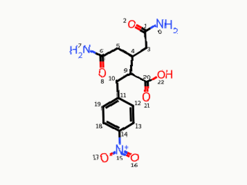 NC(=O)CC(CC(N)=O)C(Cc1ccc([N+](=O)[O-])cc1)C(=O)O